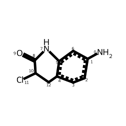 Nc1ccc2c(c1)NC(=O)C(Cl)C2